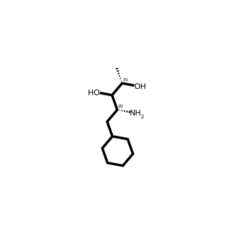 C[C@H](O)C(O)[C@H](N)CC1CCCCC1